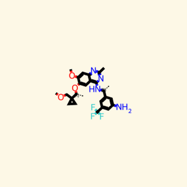 COCC1([C@@H](C)Oc2cc3c(N[C@H](C)c4cc(N)cc(C(F)(F)F)c4)nc(C)nc3cc2OC)CC1